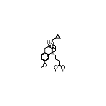 COc1ccc2c(c1)[C@]1(CCCC(OC)OC)CCN(CC3CC3)[C@H](C2)C1=O